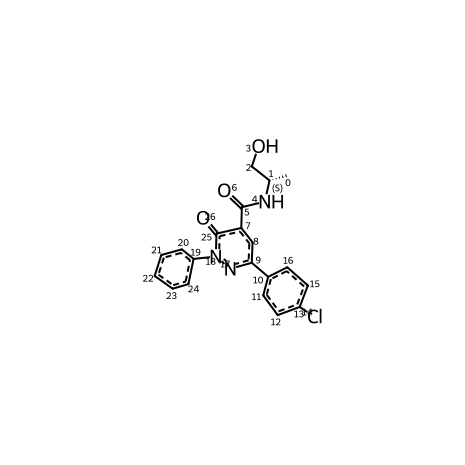 C[C@@H](CO)NC(=O)c1cc(-c2ccc(Cl)cc2)nn(-c2ccccc2)c1=O